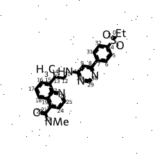 CCS(=O)(=O)c1ccc(-c2cc(NC[C@@H](C)c3cccc4c(C(=O)NC)ccnc34)ncn2)cc1